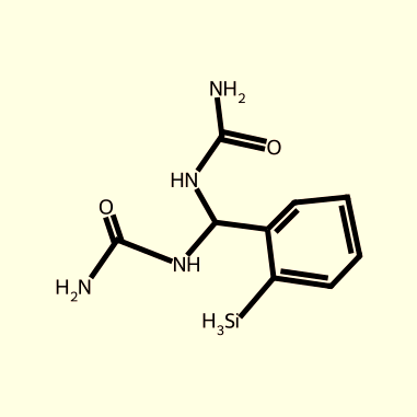 NC(=O)NC(NC(N)=O)c1ccccc1[SiH3]